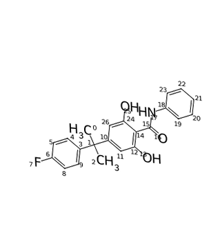 CC(C)(c1ccc(F)cc1)c1cc(O)c(C(=O)Nc2ccccc2)c(O)c1